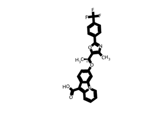 Cc1nc(-c2ccc(C(F)(F)F)cc2)oc1[C@H](C)Oc1ccc2c(C(=O)O)c3ccccn3c2c1